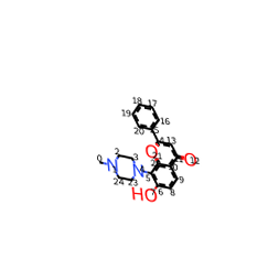 CN1CCN(c2c(O)ccc3c(=O)cc(-c4ccccc4)oc23)CC1